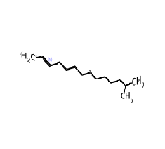 [CH2]/C=C/CCCCCCCCCC(C)C